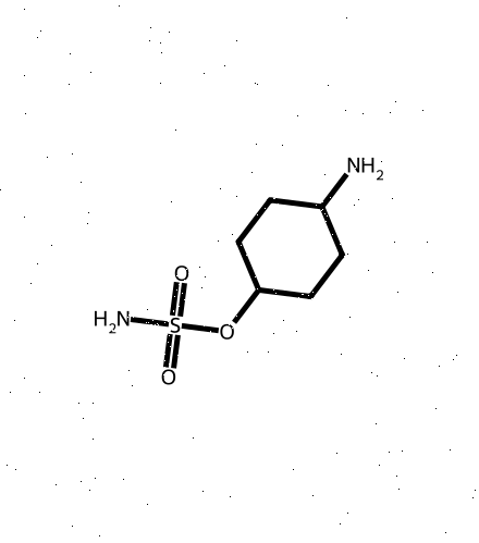 NC1CCC(OS(N)(=O)=O)CC1